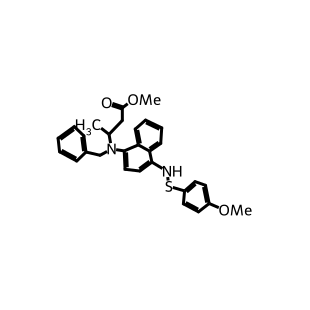 COC(=O)CC(C)N(Cc1ccccc1)c1ccc(NSc2ccc(OC)cc2)c2ccccc12